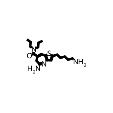 CCCN(CCC)C(=O)C1=Cc2sc(CCCCCN)cc2N=C(N)C1